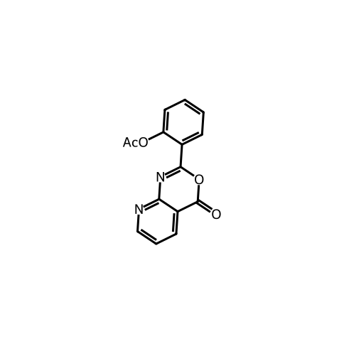 CC(=O)Oc1ccccc1-c1nc2ncccc2c(=O)o1